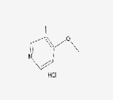 COc1ccncc1C.Cl